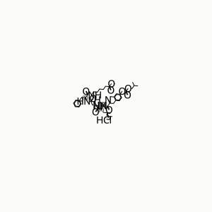 COC(=O)CCCCCNC(=O)[C@H](Cc1ccccc1)NC(=O)CNC(=O)[C@@H](CCSC)NC(=O)C(N)Cc1ccc(OC(=O)OCC(C)C)cc1C.Cl